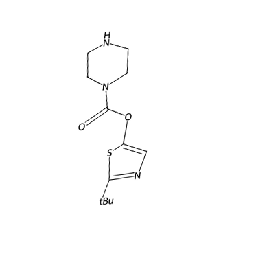 CC(C)(C)c1ncc(OC(=O)N2CCNCC2)s1